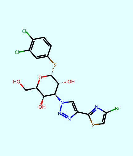 OC[C@H]1O[C@H](Sc2ccc(Cl)c(Cl)c2)[C@H](O)[C@@H](n2cc(-c3nc(Br)cs3)nn2)[C@H]1O